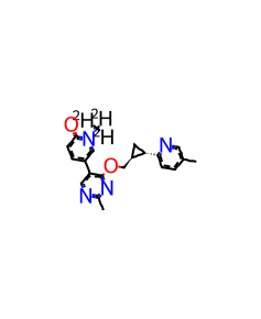 [2H]C([2H])([2H])n1cc(-c2cnc(C)nc2OC[C@H]2C[C@@H]2c2ccc(C)cn2)ccc1=O